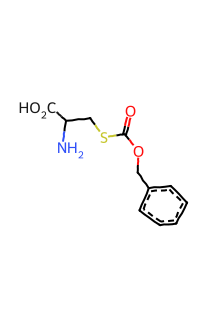 NC(CSC(=O)OCc1ccccc1)C(=O)O